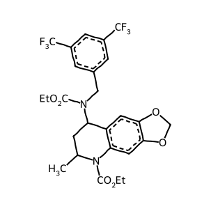 CCOC(=O)N(Cc1cc(C(F)(F)F)cc(C(F)(F)F)c1)C1CC(C)N(C(=O)OCC)c2cc3c(cc21)OCO3